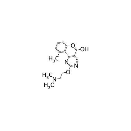 Cc1ccccc1-c1nc(OCCN(C)C)ncc1C(=O)O